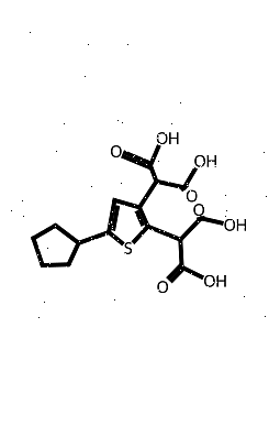 O=C(O)C(C(=O)O)c1cc(C2CCCC2)sc1C(C(=O)O)C(=O)O